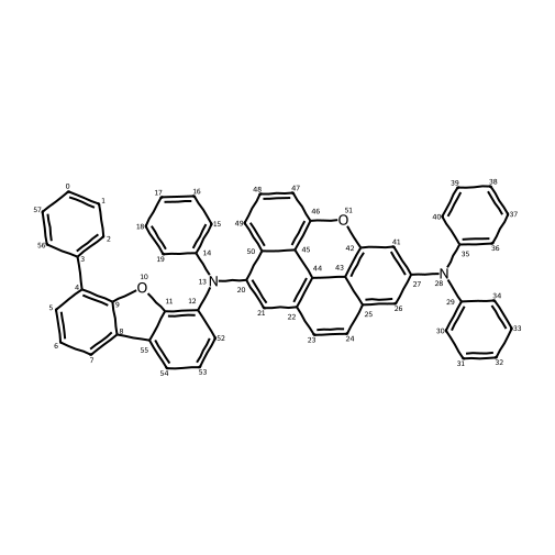 c1ccc(-c2cccc3c2oc2c(N(c4ccccc4)c4cc5ccc6cc(N(c7ccccc7)c7ccccc7)cc7c6c5c5c(cccc45)O7)cccc23)cc1